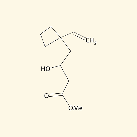 C=CC1(CC(O)CC(=O)OC)CCC1